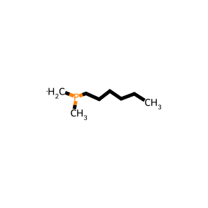 [CH2]P(C)CCCCCC